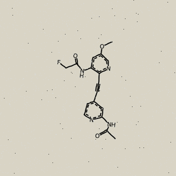 COc1cnc(C#Cc2ccnc(NC(C)=O)c2)c(NC(=O)CF)c1